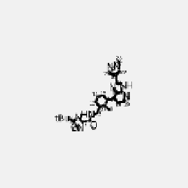 Cc1c(CNC(=O)c2noc(C(C)(C)C)n2)cccc1-c1ccnc2[nH]c(-c3cnn(C)c3)nc12